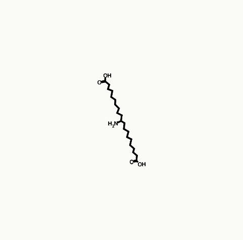 NC(CCCCCCCCCC(=O)O)CCCCCCCCCC(=O)O